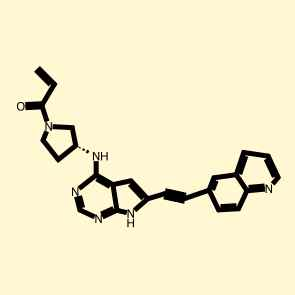 C=CC(=O)N1CC[C@@H](Nc2ncnc3[nH]c(C#Cc4ccc5ncccc5c4)cc23)C1